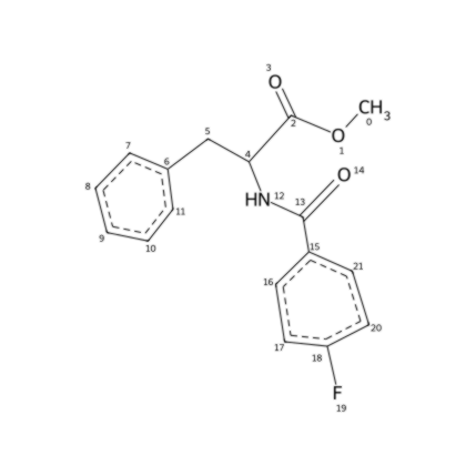 COC(=O)C(Cc1ccccc1)NC(=O)c1ccc(F)cc1